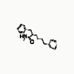 CNC(=O)C(CCCCc1ccccc1)Cc1ccccc1